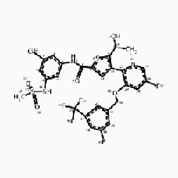 C[C@H](O)c1sc(C(=O)Nc2cc(Cl)cc(NS(C)(=O)=O)c2)cc1-c1ncc(F)cc1OCc1cc(F)cc(C(F)(F)F)c1